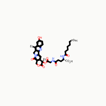 CCCCCCCCCCCCCCCC(=O)N[C@@H](CCC(=O)NCC(=O)O[C@]1(CC)C(=O)OCc2c1cc1n(c2=O)Cc2c-1nc1ccc(O)cc1c2CC)C(=O)O